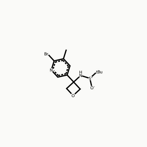 Cc1cc(C2(N[S+]([O-])C(C)(C)C)COC2)cnc1Br